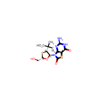 CC(C)(C(=O)O)[C@H]1S[C@@H](CO)O[C@@H]1n1c(=O)sc2c(=O)[nH]c(N)nc21